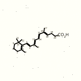 CC(C=CC1=C(C)CCCC1(C)C)=CC=CC(C)=CCCC(=O)O